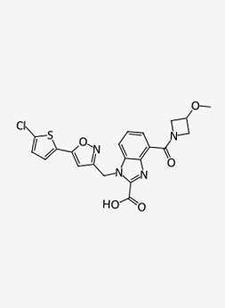 COC1CN(C(=O)c2cccc3c2nc(C(=O)O)n3Cc2cc(-c3ccc(Cl)s3)on2)C1